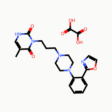 Cc1c[nH]c(=O)n(CCCN2CCN(c3ccccc3-c3ncco3)CC2)c1=O.O=C(O)C(=O)O